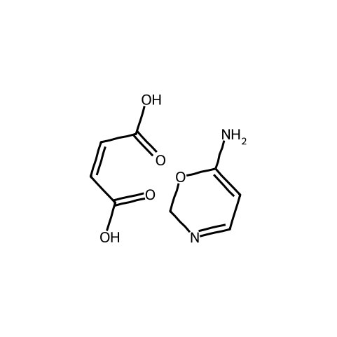 NC1=CC=NCO1.O=C(O)/C=C\C(=O)O